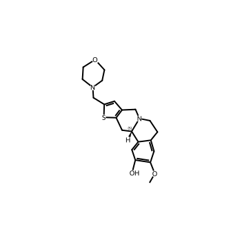 COc1cc2c(cc1O)[C@@H]1Cc3sc(CN4CCOCC4)cc3CN1CC2